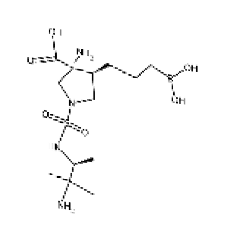 C[C@H](NS(=O)(=O)N1C[C@H](CCCB(O)O)[C@](N)(C(=O)O)C1)C(C)(C)N